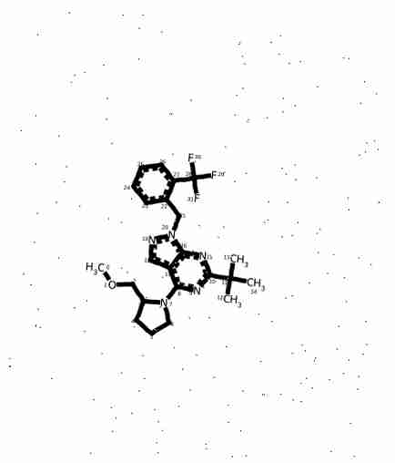 COCC1CCCN1c1nc(C(C)(C)C)nc2c1cnn2Cc1ccccc1C(F)(F)F